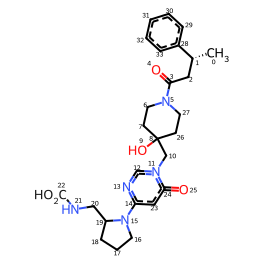 C[C@H](CC(=O)N1CCC(O)(Cn2cnc(N3CCCC3CNC(=O)O)cc2=O)CC1)c1ccccc1